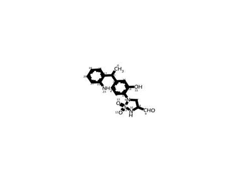 CC(c1ccc(N2CC(C=O)NS2(=O)=O)c(O)c1)c1ccccc1N